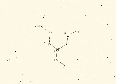 CCN(CCNC)COC